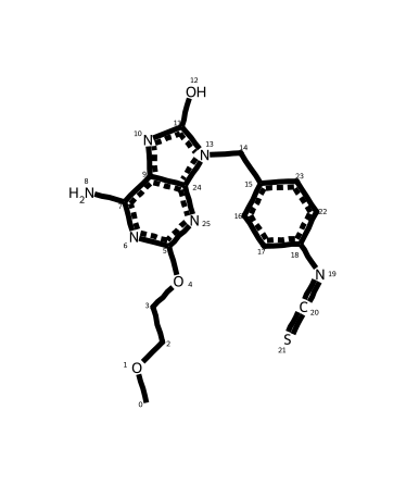 COCCOc1nc(N)c2nc(O)n(Cc3ccc(N=C=S)cc3)c2n1